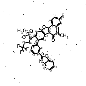 CNC(=O)c1c(-c2ccc(F)cc2)oc2cc(N(CCC(F)(F)F)S(C)(=O)=O)c(-c3cccc(-c4nc5ncccc5o4)c3)cc12